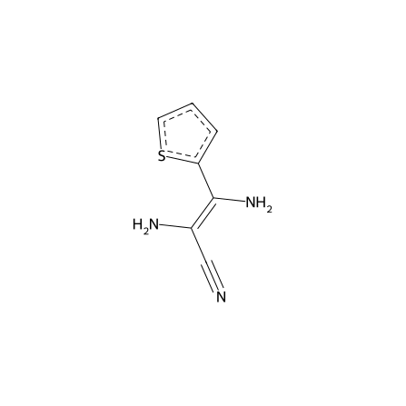 N#CC(N)=C(N)c1cccs1